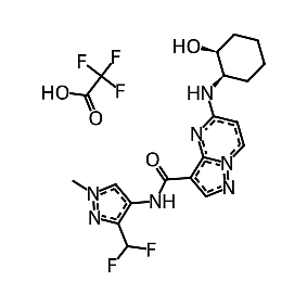 Cn1cc(NC(=O)c2cnn3ccc(N[C@@H]4CCCC[C@@H]4O)nc23)c(C(F)F)n1.O=C(O)C(F)(F)F